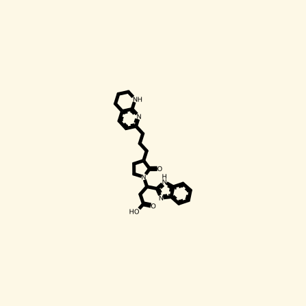 O=C(O)CC(c1nc2ccccc2[nH]1)N1CCC(CCCc2ccc3c(n2)NCCC3)C1=O